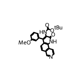 COc1cccc(-c2c(NC(=O)OC(C)(C)C)c(=O)[nH]c3c2ccc2cnccc23)c1